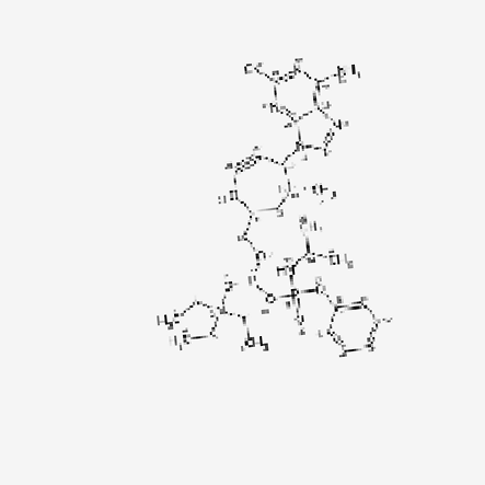 CC[N+](CC)(CC)OP(OCC1C[C@@H](C)C(n2cnc3c(N)nc(Cl)nc32)C#CO1)OP(=O)(NC(C)C)Oc1ccccc1